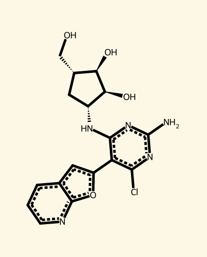 Nc1nc(Cl)c(-c2cc3cccnc3o2)c(N[C@@H]2C[C@H](CO)[C@@H](O)[C@H]2O)n1